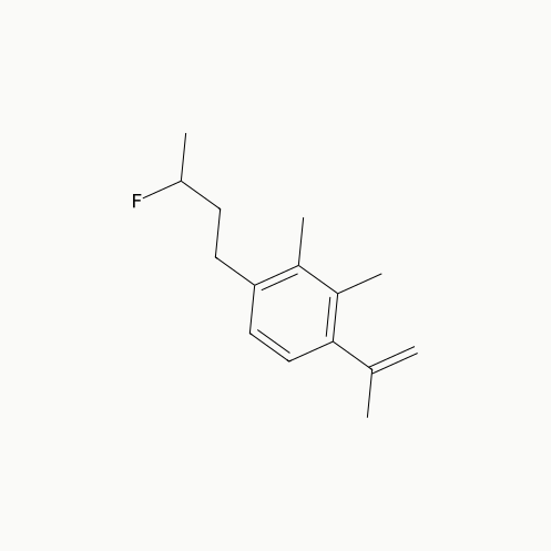 C=C(C)c1ccc(CCC(C)F)c(C)c1C